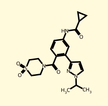 CC(C)n1ccc(-c2cc(NC(=O)C3CC3)ccc2C(=O)N2CCS(=O)(=O)CC2)n1